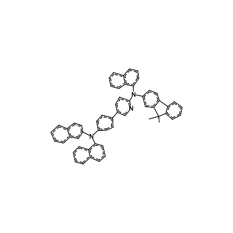 CC1(C)c2ccccc2-c2ccc(N(c3ccc(-c4ccc(N(c5ccc6ccccc6c5)c5cccc6ccccc56)cc4)cn3)c3cccc4ccccc34)cc21